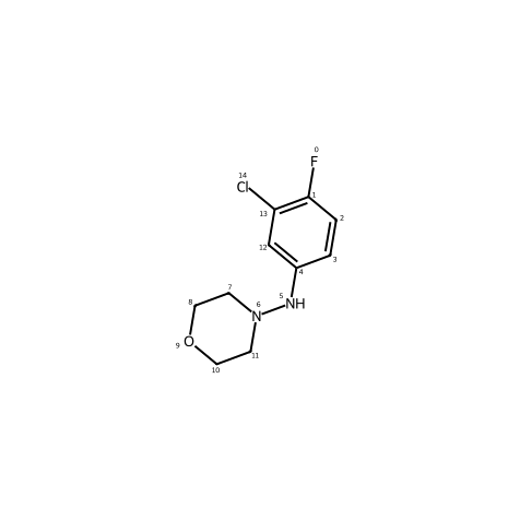 Fc1ccc(NN2CCOCC2)cc1Cl